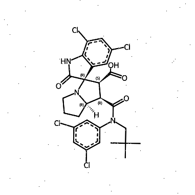 CC(C)(C)CN(C(=O)[C@H]1[C@H]2CCCN2[C@]2(C(=O)Nc3c(Cl)cc(Cl)cc32)[C@H]1C(=O)O)c1cc(Cl)cc(Cl)c1